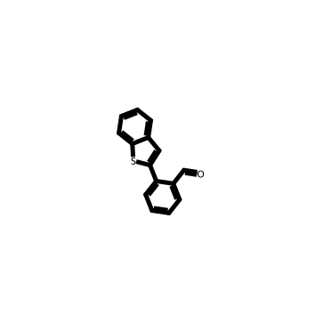 O=Cc1ccccc1-c1cc2ccccc2s1